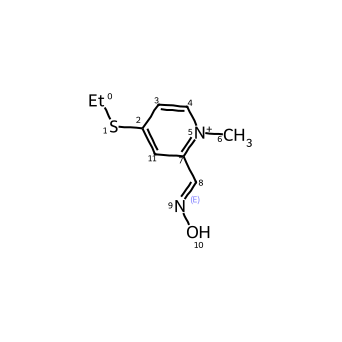 CCSc1cc[n+](C)c(/C=N/O)c1